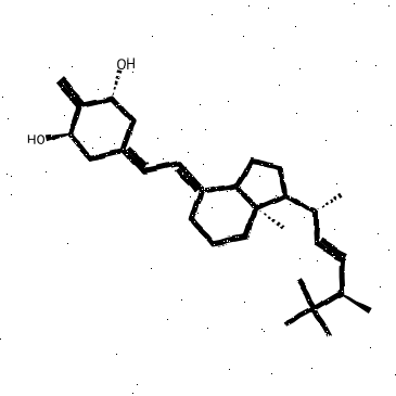 C=C1[C@H](O)CC(=C/C=C2\CCC[C@@]3(C)C2CCC3[C@H](C)/C=C/[C@@H](C)C(C)(C)C)C[C@H]1O